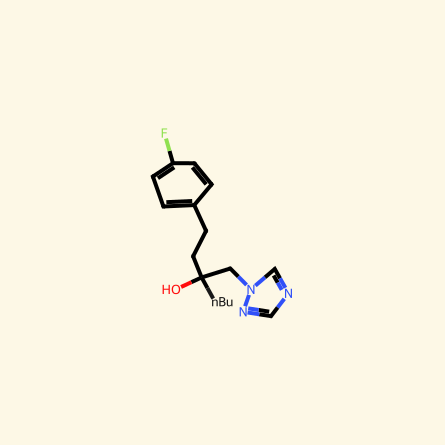 CCCCC(O)(CCc1ccc(F)cc1)Cn1cncn1